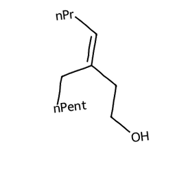 CCCC=C(CCO)CCCCCC